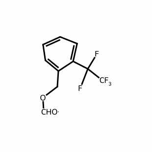 O=[C]OCc1ccccc1C(F)(F)C(F)(F)F